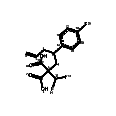 C=CCC(CC(C(=O)O)(C(=O)O)C(F)F)c1ccc(F)cc1